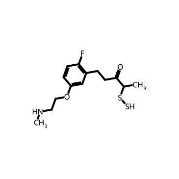 CNCCOc1ccc(F)c(CCC(=O)C(C)SS)c1